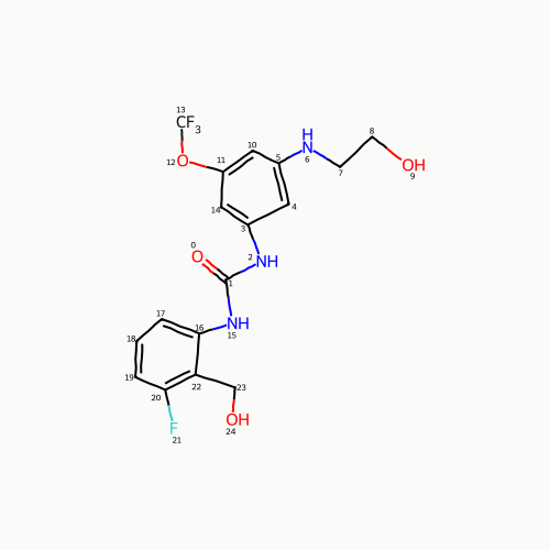 O=C(Nc1cc(NCCO)cc(OC(F)(F)F)c1)Nc1cccc(F)c1CO